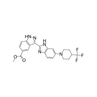 COC(=O)c1ccc2[nH]nc(-c3nc4ccc(N5CCC(C(F)(F)F)CC5)cc4[nH]3)c2c1